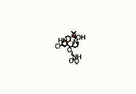 COC(=O)NCCO[C@@H](c1cccc(Cl)c1)C1CCCN(C(=O)O)C1[C@@H]1CNCC[C@H]1CC(C)C